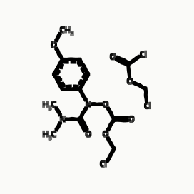 COc1ccc(N(OC(=O)OCCl)C(=O)N(C)C)cc1.O=C(Cl)OCCl